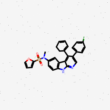 CN(c1ccc2[nH]c3ncc(-c4ccc(F)cc4)c(C4=CC=CCC4)c3c2c1)S(=O)(=O)c1ccco1